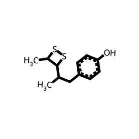 CC(Cc1ccc(O)cc1)C1SSC1C